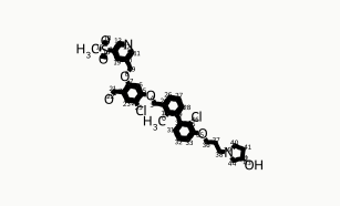 Cc1c(COc2cc(OCc3cncc(S(C)(=O)=O)c3)c(C=O)cc2Cl)cccc1-c1cccc(OCCCN2CC[C@@H](O)C2)c1Cl